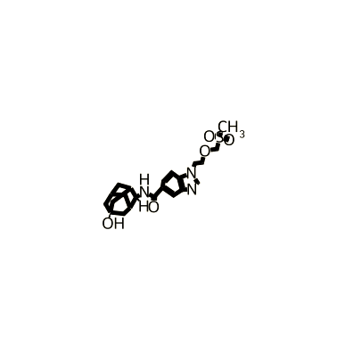 CS(=O)(=O)COCCn1cnc2cc(C(=O)N[C@H]3C4CC5CC3C[C@](O)(C5)C4)ccc21